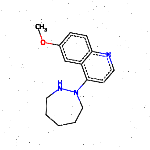 COc1ccc2nccc(N3CCCCCN3)c2c1